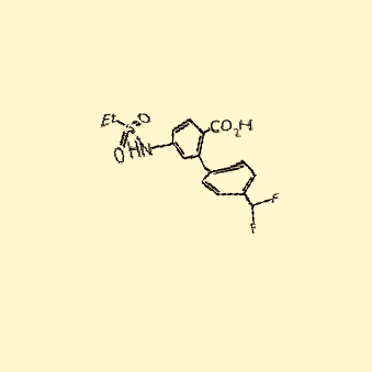 CCS(=O)(=O)Nc1ccc(C(=O)O)c(-c2ccc(C(F)F)cc2)c1